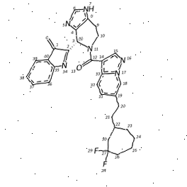 C=C1C([C@@H]2c3nc[nH]c3CCN2C(=O)c2cnn3cc(CCC4CCCCC(F)(F)C4)ccc23)=Nc2ccccc21